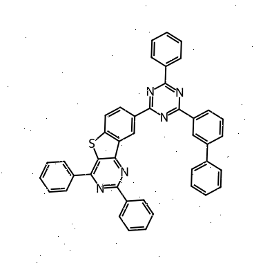 c1ccc(-c2cccc(-c3nc(-c4ccccc4)nc(-c4ccc5sc6c(-c7ccccc7)nc(-c7ccccc7)nc6c5c4)n3)c2)cc1